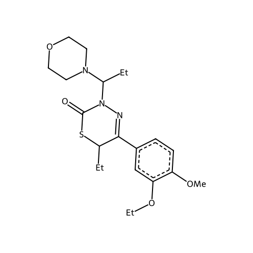 CCOc1cc(C2=NN(C(CC)N3CCOCC3)C(=O)SC2CC)ccc1OC